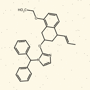 CC=CC1CC(Oc2nccn2C(c2ccccc2)c2ccccc2)Cc2c(OCC(=O)O)cccc21